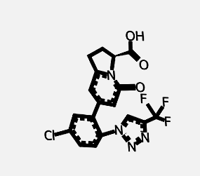 O=C(O)[C@@H]1CCc2cc(-c3cc(Cl)ccc3-n3cc(C(F)(F)F)nn3)cc(=O)n21